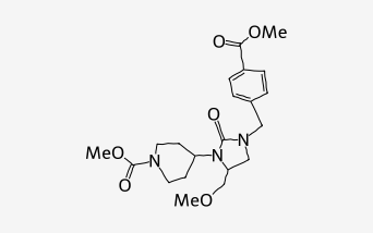 COCC1CN(Cc2ccc(C(=O)OC)cc2)C(=O)N1C1CCN(C(=O)OC)CC1